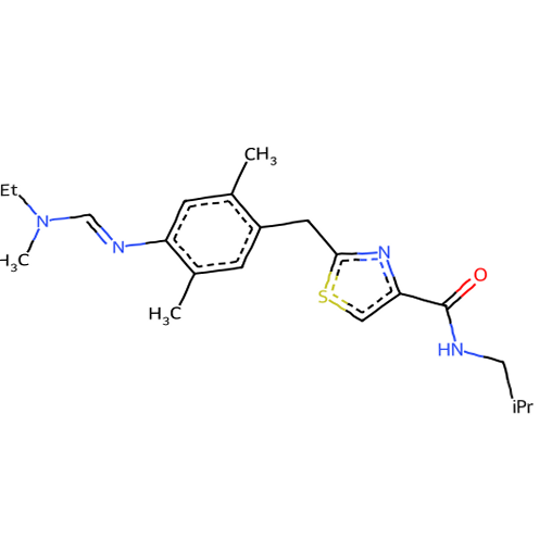 CCN(C)/C=N/c1cc(C)c(Cc2nc(C(=O)NCC(C)C)cs2)cc1C